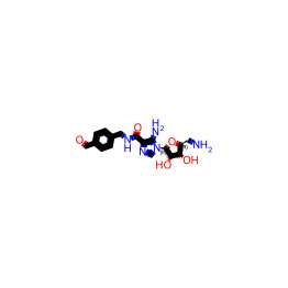 NC[C@H]1O[C@@H](n2cnc(C(=O)NCc3ccc(C=O)cc3)c2N)[C@H](O)[C@@H]1O